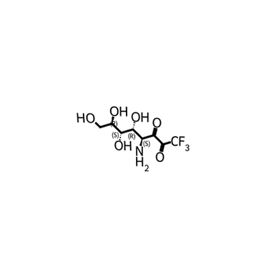 N[C@H](C(=O)C(=O)C(F)(F)F)[C@@H](O)[C@H](O)[C@H](O)CO